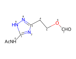 CC(=O)Nc1nc(CCOC=O)n[nH]1